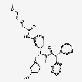 COCCOCC(=O)Nc1cccc([C@@H](CN2CC[C@H](O)C2)N(C)C(=O)C(c2ccccc2)c2ccccc2)c1